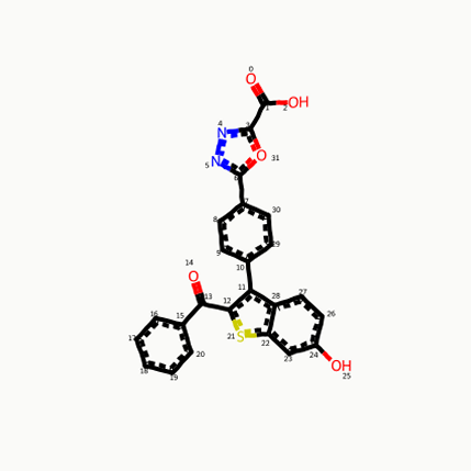 O=C(O)c1nnc(-c2ccc(-c3c(C(=O)c4ccccc4)sc4cc(O)ccc34)cc2)o1